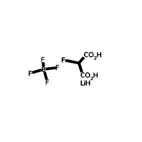 F[B-](F)(F)F.O=C(O)C(F)C(=O)O.[LiH]